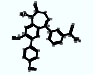 COc1ccc(-c2cc3c(cc2OC)N(C)C(=O)CN=C3c2cccc(C(N)=O)c2)cc1